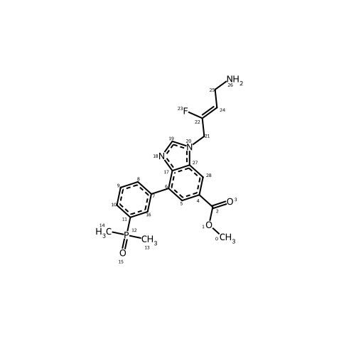 COC(=O)c1cc(-c2cccc(P(C)(C)=O)c2)c2ncn(C/C(F)=C/CN)c2c1